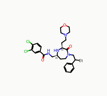 CCC(CN1CC[C@@H](CNC(=O)c2ccc(Cl)c(Cl)c2)N[C@@H](CCN2CCOCC2)C1=O)c1ccccc1